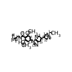 CCn1cc(-c2cnc3c(c2)ncn3-c2cc(OC)c(C(=O)NCC(F)(F)F)c(OC)c2)cn1